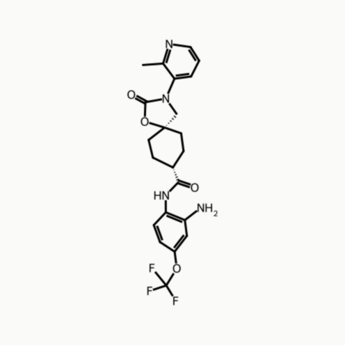 Cc1ncccc1N1C[C@]2(CC[C@@H](C(=O)Nc3ccc(OC(F)(F)F)cc3N)CC2)OC1=O